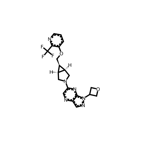 FC(F)(F)c1ncccc1OC[C@H]1[C@H]2CN(c3cnc4cnn(C5COC5)c4n3)C[C@@H]12